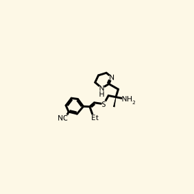 CC/C(=C\SC[C@@](C)(N)CC1=NCCCN1)c1cccc(C#N)c1